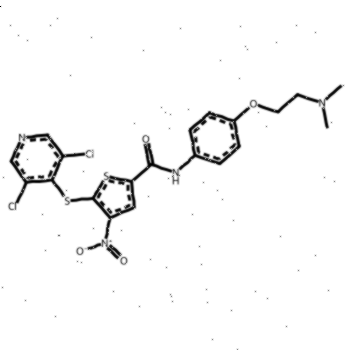 CN(C)CCOc1ccc(NC(=O)c2cc([N+](=O)[O-])c(Sc3c(Cl)cncc3Cl)s2)cc1